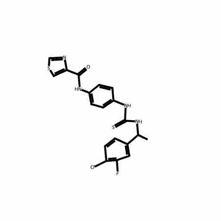 CC(NC(=S)Nc1ccc(NC(=O)c2cscn2)cc1)c1ccc(Cl)c(F)c1